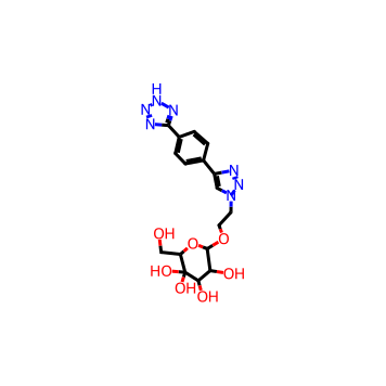 OCC1OC(OCCn2cc(-c3ccc(-c4nn[nH]n4)cc3)nn2)C(O)C(O)C1(O)O